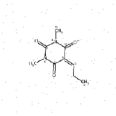 CCC=C1C(=O)N(C)C(=O)N(C)C1=O